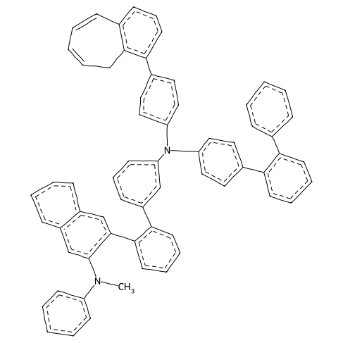 CN(c1ccccc1)c1cc2ccccc2cc1-c1ccccc1-c1cccc(N(c2ccc(-c3ccccc3-c3ccccc3)cc2)c2ccc(-c3cccc4c3CC=CC=C4)cc2)c1